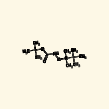 CC(C)(C)OC(=O)NO[Si](C)(C)C(C)(C)C